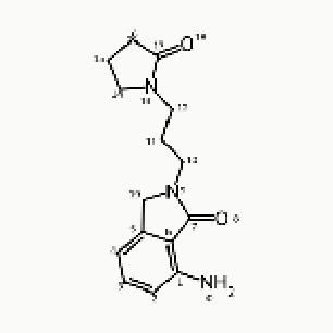 Nc1cccc2c1C(=O)N(CCCN1CCCC1=O)C2